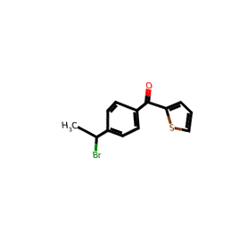 CC(Br)c1ccc(C(=O)c2cccs2)cc1